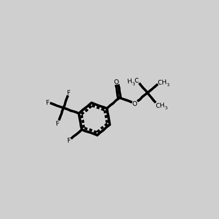 CC(C)(C)OC(=O)c1ccc(F)c(C(F)(F)F)c1